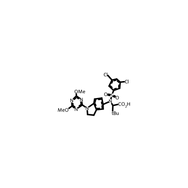 COc1nc(OC)nc(N2CCc3cc(N(C(C(=O)O)C(C)(C)C)S(=O)(=O)c4cc(Cl)cc(Cl)c4)ccc32)n1